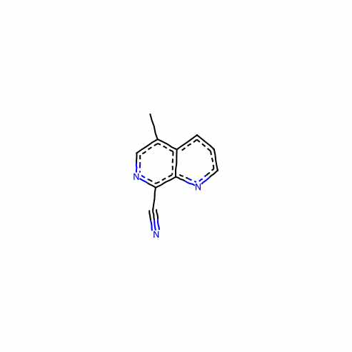 Cc1cnc(C#N)c2ncccc12